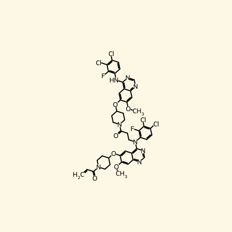 C=CC(=O)N1CCC(Oc2cc3c(N(CCC(=O)N4CCC(Oc5cc6c(Nc7ccc(Cl)c(Cl)c7F)ncnc6cc5OC)CC4)c4ccc(Cl)c(Cl)c4F)ncnc3cc2OC)CC1